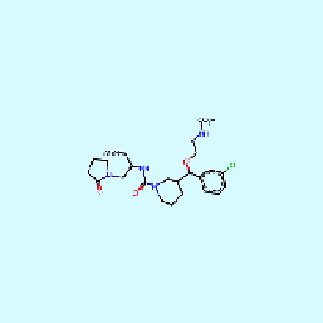 CNCC(CN1CCCC1=O)NC(=O)N1CCCC(C(OCCNC(=O)O)c2cccc(Cl)c2)C1